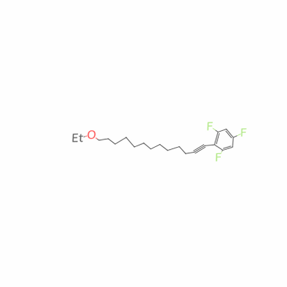 CCOCCCCCCCCCCCC#Cc1c(F)cc(F)cc1F